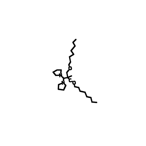 CCCCCCCCOCC(C)(COCCCCCCCC)C(N1CCCC1)N1CCCC1